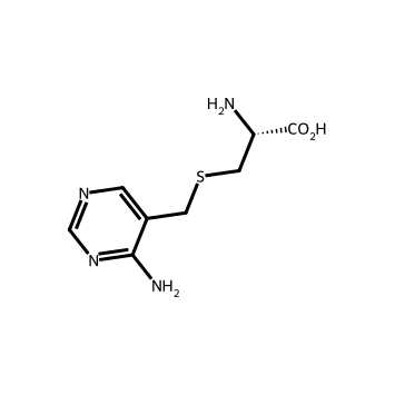 Nc1ncncc1CSC[C@H](N)C(=O)O